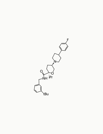 CC(C)[C@]1(C(=O)NCc2cccc(C(C)(C)C)c2)CC[C@@H](N2CCC(c3ccc(F)cc3)CC2)CO1